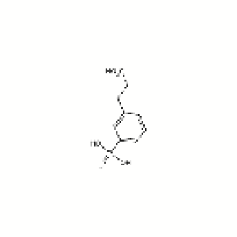 O=C(O)CCc1cccc(P(=O)(O)O)c1